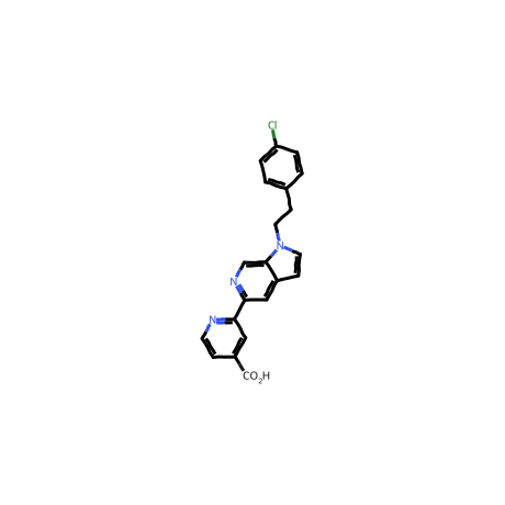 O=C(O)c1ccnc(-c2cc3ccn(CCc4ccc(Cl)cc4)c3cn2)c1